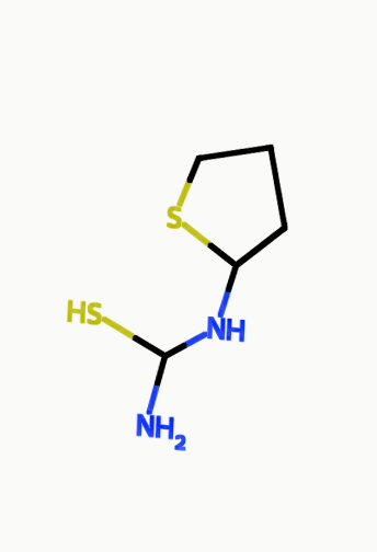 NC(S)NC1CCCS1